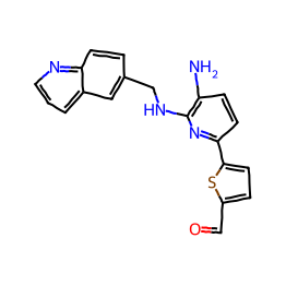 Nc1ccc(-c2ccc(C=O)s2)nc1NCc1ccc2ncccc2c1